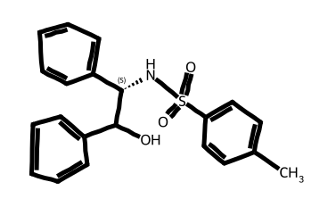 Cc1ccc(S(=O)(=O)N[C@@H](c2ccccc2)C(O)c2ccccc2)cc1